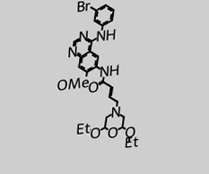 CCOC1CN(CC=CC(=O)Nc2cc3c(Nc4cccc(Br)c4)ncnc3cc2OC)CC(OCC)O1